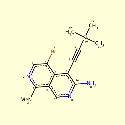 CNc1ncc(Br)c2c(C#C[Si](C)(C)C)c(N)ncc12